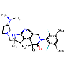 COc1cc(OC)c(F)c(N2Cc3cnc4c(c3C(C)(C)C2=O)C[C@](C)(CN2CC[C@@H](N(C)C)C2)N4)c1F